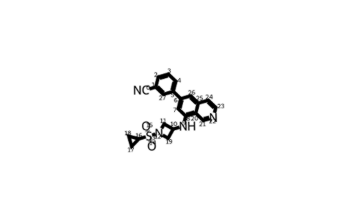 N#Cc1cccc(-c2cc(NC3CN(S(=O)(=O)C4CC4)C3)c3cnccc3c2)c1